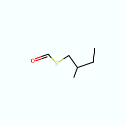 CCC(C)CS[C]=O